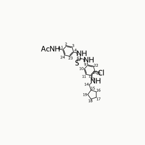 CC(=O)Nc1ccc(NC(=S)Nc2ccc(NCC3CCCC3)c(Cl)c2)cc1